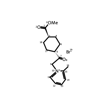 COC(=O)[C@H]1CC[C@H](C(=O)C[n+]2ccccc2C)CC1.[Br-]